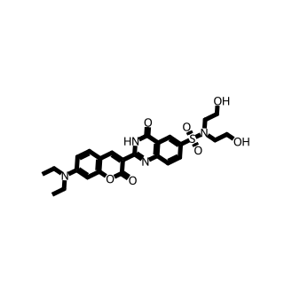 CCN(CC)c1ccc2cc(-c3nc4ccc(S(=O)(=O)N(CCO)CCO)cc4c(=O)[nH]3)c(=O)oc2c1